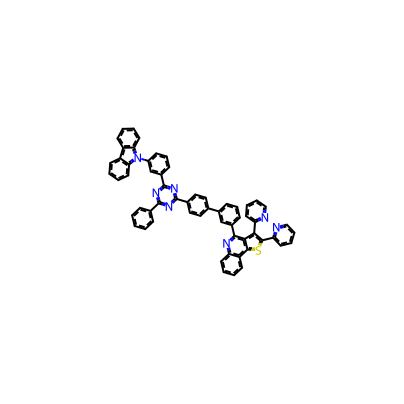 c1ccc(-c2nc(-c3ccc(-c4cccc(-c5nc6ccccc6c6sc(-c7ccccn7)c(-c7ccccn7)c56)c4)cc3)nc(-c3cccc(-n4c5ccccc5c5ccccc54)c3)n2)cc1